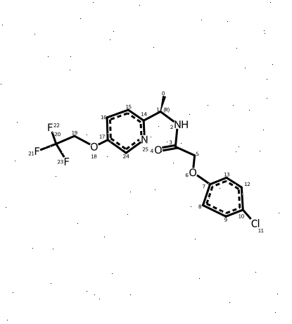 C[C@@H](NC(=O)COc1ccc(Cl)cc1)c1ccc(OCC(F)(F)F)cn1